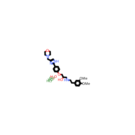 COc1ccc(CCNCC(O)COc2ccc(-c3nc(CN4CCOCC4)c[nH]3)cc2)cc1OC.Cl.Cl.Cl.O